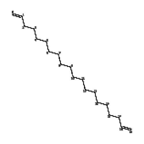 C=CCCCCCCCCCCCCCCCCC=C